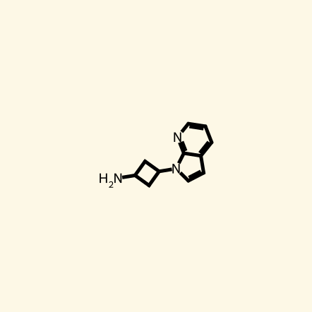 NC1CC(n2ccc3cccnc32)C1